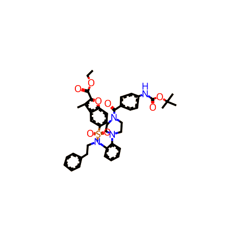 CCOC(=O)c1oc2ccc(S(=O)(=O)N(CCc3ccccc3)c3ccccc3N3CCN(C(=O)c4ccc(NC(=O)OC(C)(C)C)cc4)CC3)cc2c1C